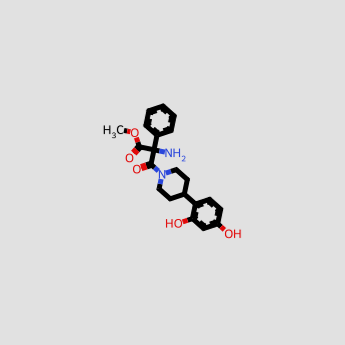 COC(=O)C(N)(C(=O)N1CCC(c2ccc(O)cc2O)CC1)c1ccccc1